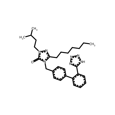 CCCCCCCc1nn(CCC(C)C)c(=O)n1Cc1ccc(-c2ccccc2-c2nnn[nH]2)cc1